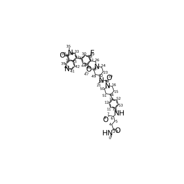 CNC(=O)CCC(C=O)Nc1ccc(C2CCN(C(=O)N(C)C3CCN(Cc4c(F)cc(-c5cn(C)c(=O)c6cnccc56)cc4OC)CC3)CC2)cc1